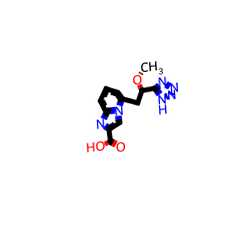 COC(Cc1cccc2nc(C(=O)O)cn12)c1nnn[nH]1